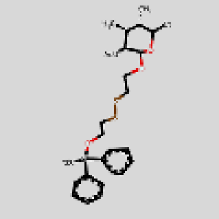 CCC1O[C@@H](OCCSSCCO[Si](c2ccccc2)(c2ccccc2)C(C)(C)C)C(OC(C)=O)[C@@H](C)[C@@H]1C